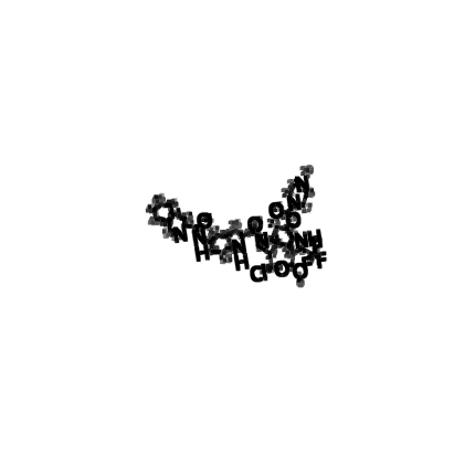 COC(=O)c1c(C(F)(F)F)[nH]c2c(OC(=O)N3CCN(C)CC3)cc3c(c12)C(CCl)CN3C(=O)c1cc2cc(NC(=O)c3cc4ccccc4cn3)ccc2[nH]1